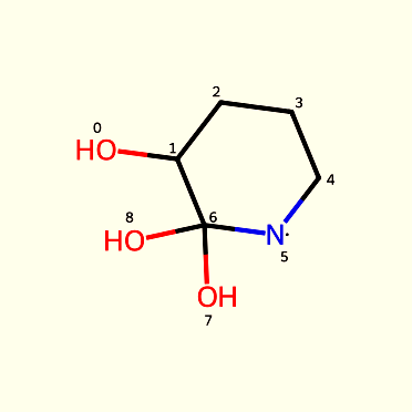 OC1CCC[N]C1(O)O